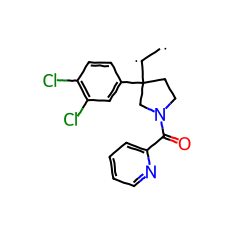 [CH2][CH]C1(c2ccc(Cl)c(Cl)c2)CCN(C(=O)c2ccccn2)C1